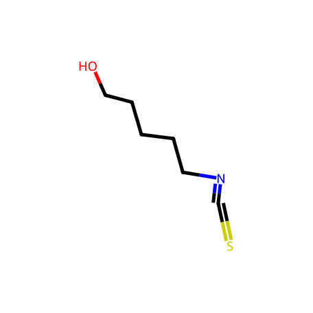 OCCCCCN=C=S